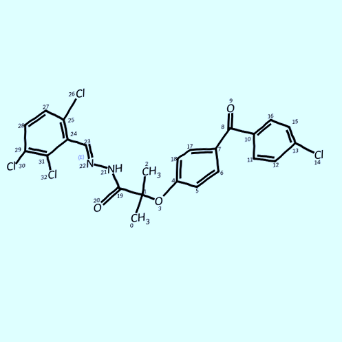 CC(C)(Oc1ccc(C(=O)c2ccc(Cl)cc2)cc1)C(=O)N/N=C/c1c(Cl)ccc(Cl)c1Cl